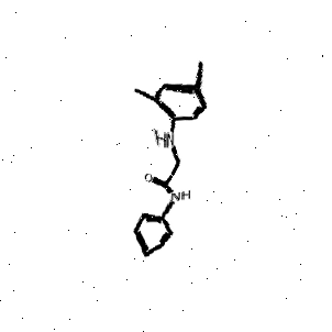 Cc1ccc(NCC(=O)Nc2ccccc2)c(C)c1